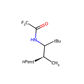 CCCCC[C@H](C)C(NC(=O)C(F)(F)F)C(C)(C)C